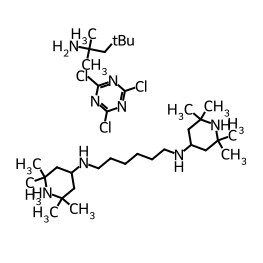 CC(C)(C)CC(C)(C)N.CC1(C)CC(NCCCCCCNC2CC(C)(C)NC(C)(C)C2)CC(C)(C)N1.Clc1nc(Cl)nc(Cl)n1